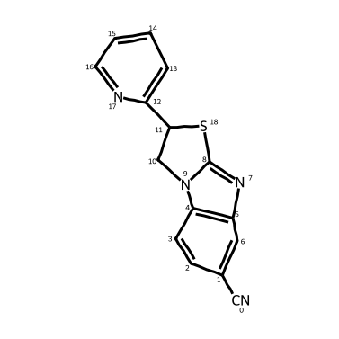 N#Cc1ccc2c(c1)nc1n2CC(c2ccccn2)S1